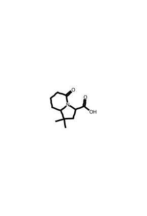 CC1(C)CC(C(=O)O)N2C(=O)CCCC21